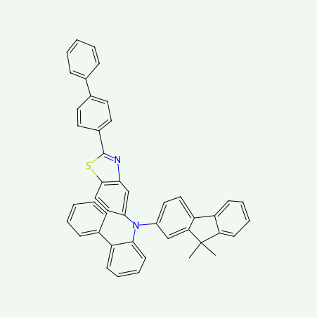 CC1(C)c2ccccc2-c2ccc(N(c3ccc4sc(-c5ccc(-c6ccccc6)cc5)nc4c3)c3ccccc3-c3ccccc3)cc21